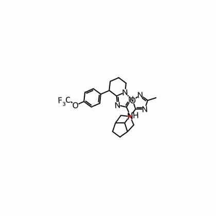 Cc1noc(N2CC3CCC(C2)C3Nc2nc3n(n2)CCCC3c2ccc(OC(F)(F)F)cc2)n1